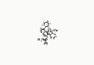 COc1ccccc1-n1c(SN(N)C(C)=O)nc2scc(-c3ccccc3)c2c1=O